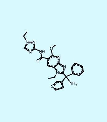 CCn1cnc(NC(=O)c2cc3c(nc2OC)nc(C(N)(c2ccccc2)c2ccsc2)n3CC)n1